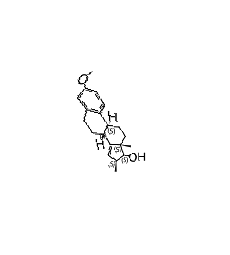 COc1ccc2c(c1)CC[C@H]1C3=C[C@H](C)[C@H](O)[C@@]3(C)CC[C@H]21